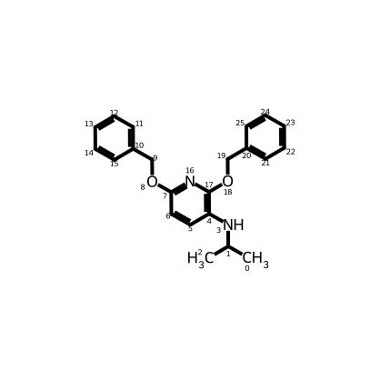 CC(C)Nc1ccc(OCc2ccccc2)nc1OCc1ccccc1